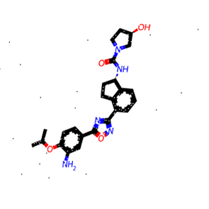 CC(C)Oc1ccc(-c2nc(-c3cccc4c3CC[C@@H]4NC(=O)N3CC[C@@H](O)C3)no2)cc1N